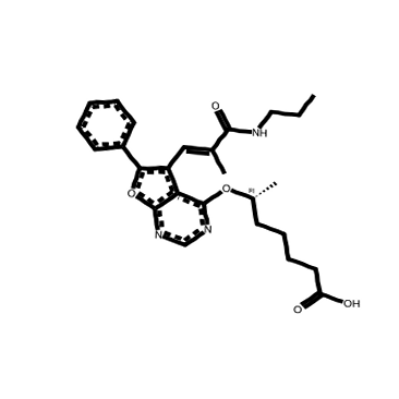 CCCNC(=O)C(C)=Cc1c(-c2ccccc2)oc2ncnc(O[C@H](C)CCCCC(=O)O)c12